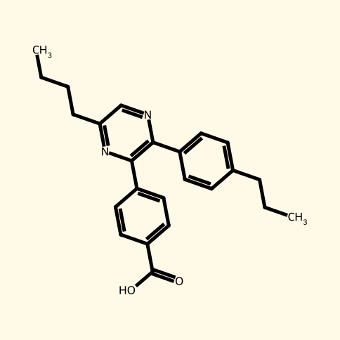 CCCCc1cnc(-c2ccc(CCC)cc2)c(-c2ccc(C(=O)O)cc2)n1